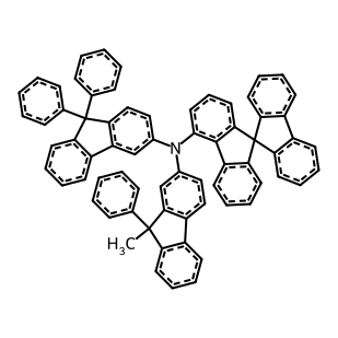 CC1(c2ccccc2)c2ccccc2-c2ccc(N(c3ccc4c(c3)-c3ccccc3C4(c3ccccc3)c3ccccc3)c3cccc4c3-c3ccccc3C43c4ccccc4-c4ccccc43)cc21